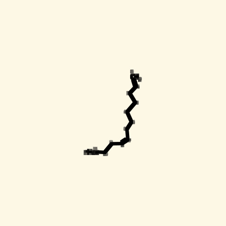 C=CCCCCC/C=C\CCCCCCCC